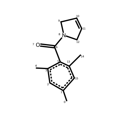 Cc1cc(C)c(C(=O)N2CC=CC2)c(C)c1